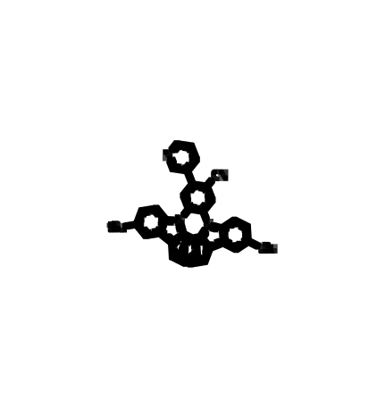 CC(C)(C)c1ccc2c(c1)c1ccccc1n2-c1cc(C#N)c(-c2cccnc2)cc1-n1c2ccccc2c2cc(C(C)(C)C)ccc21